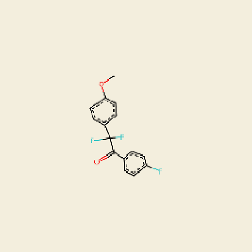 COc1ccc(C(F)(F)C(=O)c2ccc(F)cc2)cc1